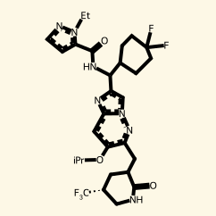 CCn1nccc1C(=O)NC(c1cn2nc(CC3C[C@@H](C(F)(F)F)CNC3=O)c(OC(C)C)cc2n1)C1CCC(F)(F)CC1